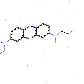 CN(CCO)c1ccc2nc3ccc(N(C)CCO)cc3[s+]c2c1.[Br-]